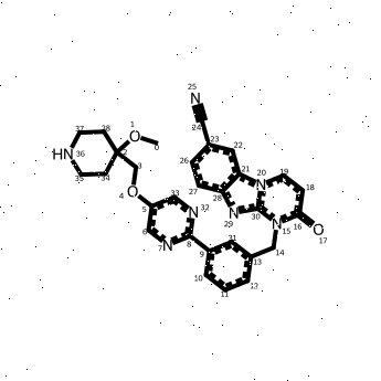 COC1(COc2cnc(-c3cccc(Cn4c(=O)ccn5c6cc(C#N)ccc6nc45)c3)nc2)CCNCC1